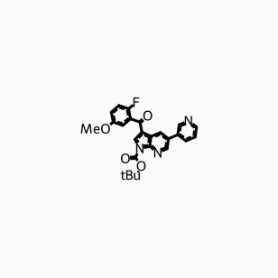 COc1ccc(F)c(C(=O)c2cn(C(=O)OC(C)(C)C)c3ncc(-c4cccnc4)cc23)c1